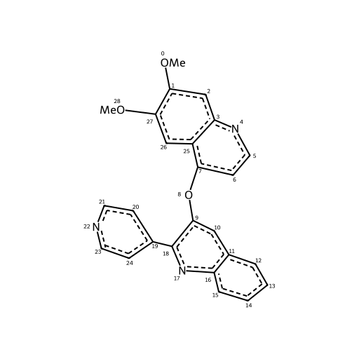 COc1cc2nccc(Oc3cc4ccccc4nc3-c3ccncc3)c2cc1OC